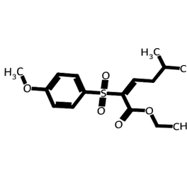 CCOC(=O)C(=CCC(C)C)S(=O)(=O)c1ccc(OC)cc1